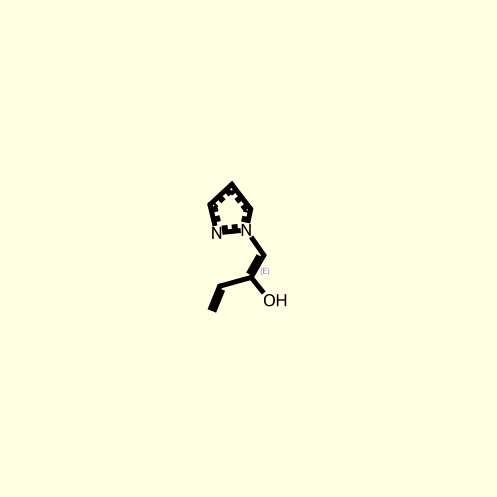 C=C/C(O)=C\n1cccn1